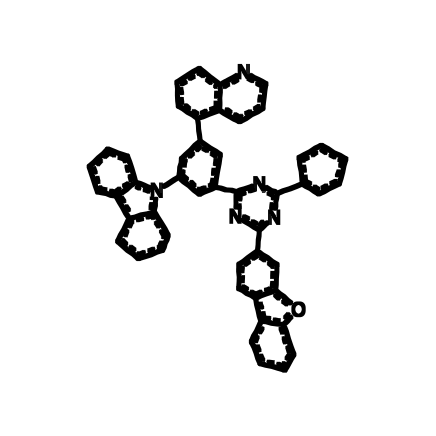 c1ccc(-c2nc(-c3cc(-c4cccc5ncccc45)cc(-n4c5ccccc5c5ccccc54)c3)nc(-c3ccc4c(c3)oc3ccccc34)n2)cc1